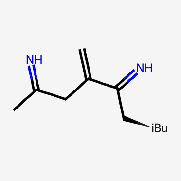 C=C(CC(C)=N)C(=N)C[C@H](C)CC